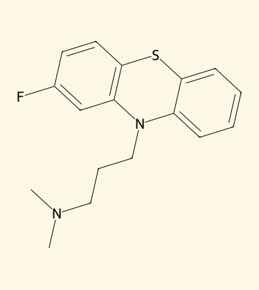 CN(C)CCCN1c2ccccc2Sc2ccc(F)cc21